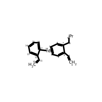 C=Cc1ccccc1CC(C)C.C=Cc1ccccc1CCCC